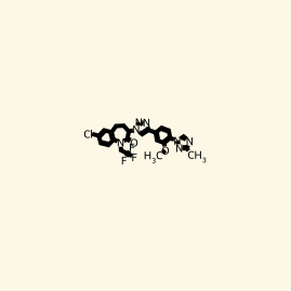 COc1cc(-c2cn(C3CCc4cc(Cl)ccc4N(CC(F)(F)F)C3=O)nn2)ccc1-n1cnc(C)n1